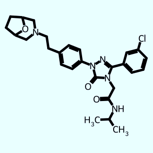 CC(C)NC(=O)Cn1c(-c2cccc(Cl)c2)nn(-c2ccc(CCN3CC4CCC(C3)O4)cc2)c1=O